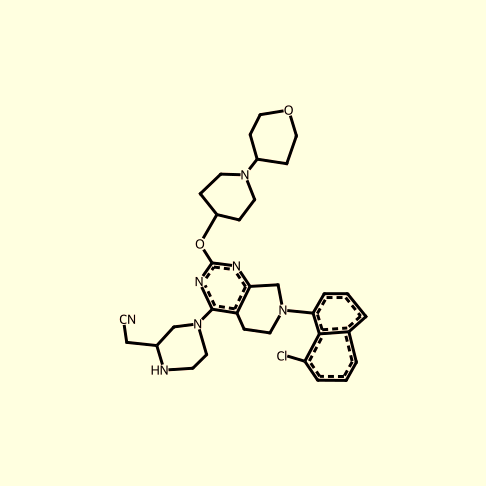 N#CCC1CN(c2nc(OC3CCN(C4CCOCC4)CC3)nc3c2CCN(c2cccc4cccc(Cl)c24)C3)CCN1